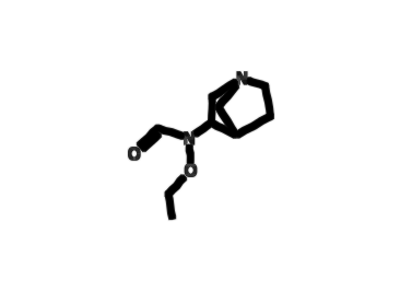 CCON(C=O)C1CN2CCC1C2